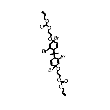 C=CCOC(=O)OCCOC1(Br)C=CC(C(C)(C)C2C=CC(Br)(OCCOC(=O)OCC=C)C=C2Br)C(Br)=C1